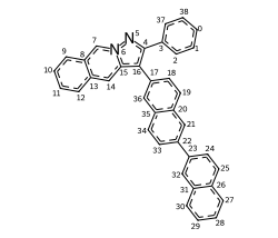 c1ccc(-c2nn3cc4ccccc4cc3c2-c2ccc3cc(-c4ccc5ccccc5c4)ccc3c2)cc1